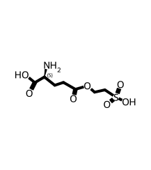 N[C@@H](CCC(=O)OCCS(=O)(=O)O)C(=O)O